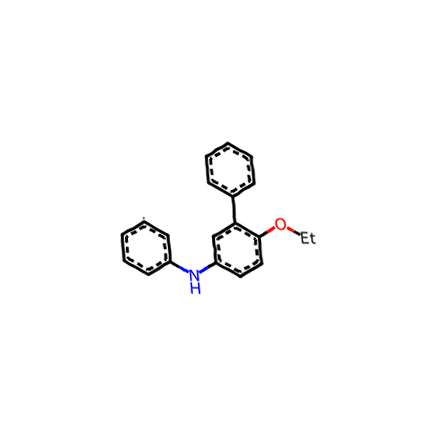 CCOc1ccc(Nc2c[c]ccc2)cc1-c1ccccc1